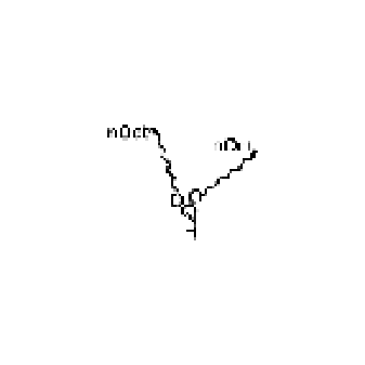 CCCCCCCC/C=C\CCCCCCCCOC1CNCC1OCCCCCCCC/C=C\CCCCCCCC